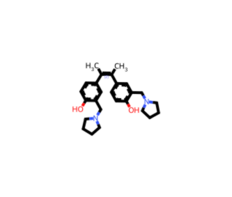 C/C(=C(\C)c1ccc(O)c(CN2CCCC2)c1)c1ccc(O)c(CN2CCCC2)c1